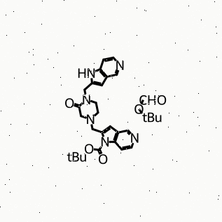 CC(C)(C)OC(=O)n1c(CN2CCN(Cc3cc4cnccc4[nH]3)C(=O)C2)cc2cnccc21.CC(C)(C)OC=O